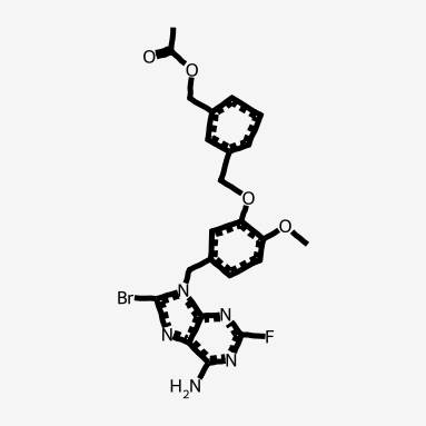 COc1ccc(Cn2c(Br)nc3c(N)nc(F)nc32)cc1OCc1cccc(COC(C)=O)c1